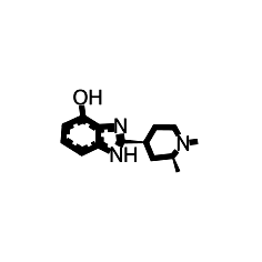 C[C@H]1C[C@@H](c2nc3c(O)cccc3[nH]2)CCN1C